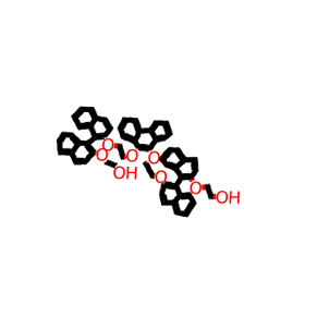 OCCOc1ccc2ccccc2c1-c1c(OCCOc2c(OCCOc3ccc4ccccc4c3-c3c(OCCO)ccc4ccccc34)c3ccccc3c3ccccc23)ccc2ccccc12